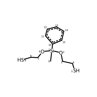 C[Si](OCCS)(OCCS)c1ccccc1